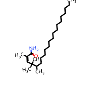 CCCCCCCCCCCCCCCCC(C)C(C)(C)C=C(C)C(N)=O